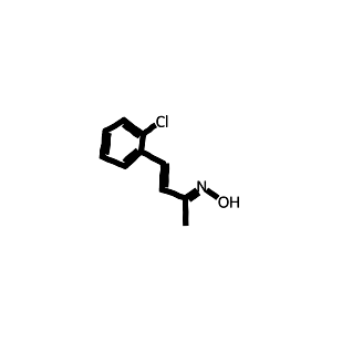 CC(C=Cc1ccccc1Cl)=NO